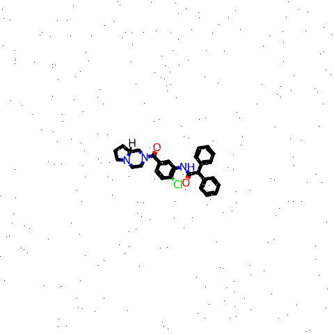 O=C(Nc1cc(C(=O)N2CCN3CCC[C@@H]3C2)ccc1Cl)C(c1ccccc1)c1ccccc1